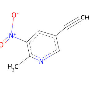 C#Cc1cnc(C)c([N+](=O)[O-])c1